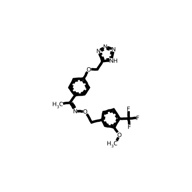 COc1cc(CON=C(C)c2ccc(OCc3nnn[nH]3)cc2)ccc1C(F)(F)F